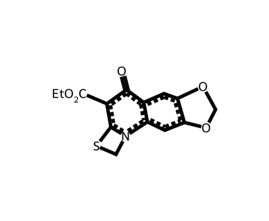 CCOC(=O)c1c2n(c3cc4c(cc3c1=O)OCO4)CS2